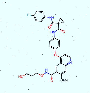 COc1cc2nccc(Oc3ccc(NC(=O)C4(C(=O)Nc5ccc(F)cc5)CC4)cc3)c2cc1C(=O)NOCCCO